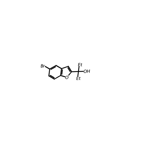 CCC(O)(CC)c1cc2cc(Br)ccc2o1